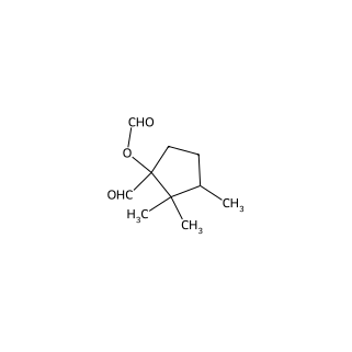 CC1CCC(C=O)(OC=O)C1(C)C